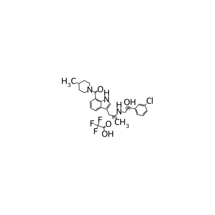 CC1CCN(C(=O)c2cccc3c(C[C@@H](C)NC[C@H](O)c4cccc(Cl)c4)c[nH]c23)CC1.O=C(O)C(F)(F)F